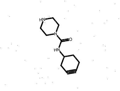 O=C(NC1CC#CCC1)N1CCNCC1